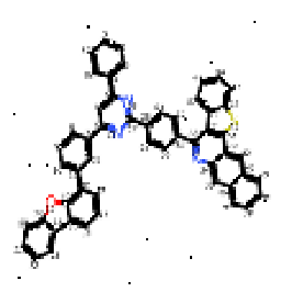 c1ccc(-c2cc(-c3cccc(-c4cccc5c4oc4ccccc45)c3)nc(-c3ccc(-c4nc5cc6ccccc6cc5c5sc6ccccc6c45)cc3)n2)cc1